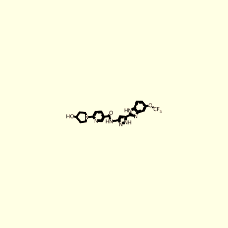 O=C(Nc1cc(-c2nc3cc(OC(F)(F)F)ccc3[nH]2)[nH]n1)c1ccc(N2CCC(O)CC2)nc1